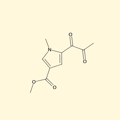 COC(=O)c1cc(C(=O)C(C)=O)n(C)c1